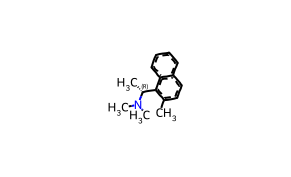 Cc1ccc2ccccc2c1[C@@H](C)N(C)C